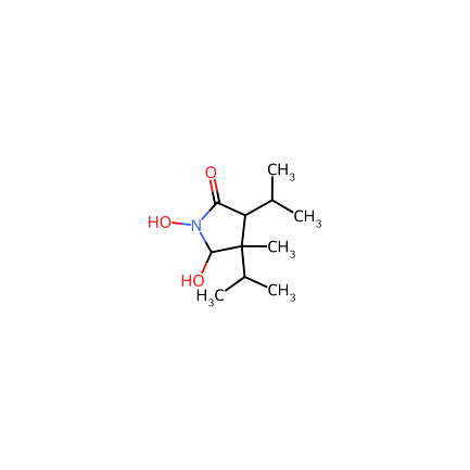 CC(C)C1C(=O)N(O)C(O)C1(C)C(C)C